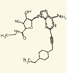 CCNC(=O)C1OC(n2cnc3c(N)nc(C#CCC4CCC(CC)CC4)nc32)C(O)C1O